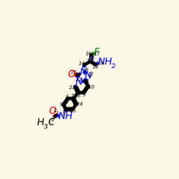 CC(=O)Nc1ccc(-c2ccc3nn(C/C(=C/F)CN)c(=O)n3c2)cc1